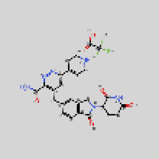 NC(=O)c1nnc(C2=CCNCC2)cc1Cc1ccc2c(c1)CN(C1CCC(=O)NC1=O)C2=O.O=C(O)C(F)(F)F